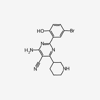 N#Cc1c(N)nc(-c2cc(Br)ccc2O)nc1C1CCCNC1